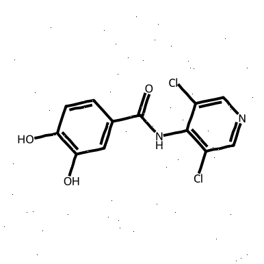 O=C(Nc1c(Cl)cncc1Cl)c1ccc(O)c(O)c1